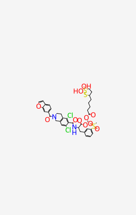 CS(=O)(=O)c1cccc(CC(NC(=O)c2c(Cl)cc3c(c2Cl)CCN(C(=O)c2ccc4ccoc4c2)C3)C(=O)OCOC(=O)CCCCC2CCS(O)(O)S2)c1